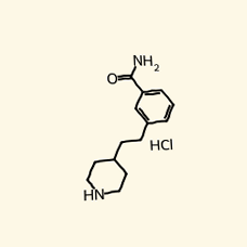 Cl.NC(=O)c1cccc(CCC2CCNCC2)c1